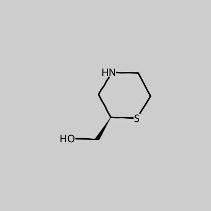 OC[C@H]1CNCCS1